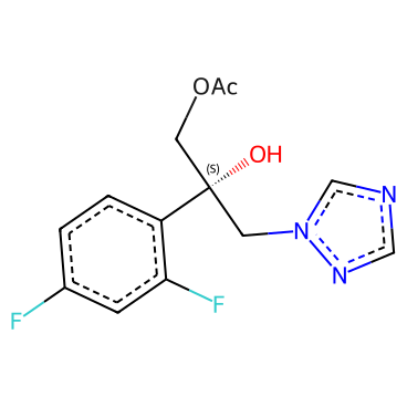 CC(=O)OC[C@@](O)(Cn1cncn1)c1ccc(F)cc1F